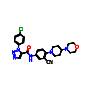 N#Cc1cc(NC(=O)c2cnnn2-c2ccc(Cl)cc2)ccc1N1CCC(N2CCOCC2)CC1